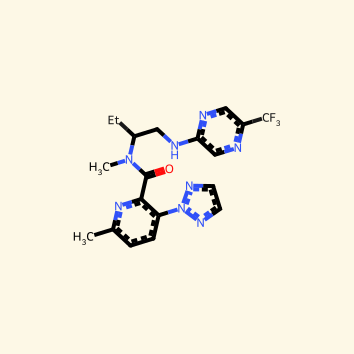 CCC(CNc1cnc(C(F)(F)F)cn1)N(C)C(=O)c1nc(C)ccc1-n1nccn1